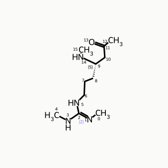 C/N=C(/NC)NCCC[C@@H](CC(C)=O)NC